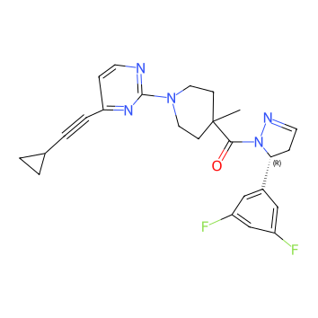 CC1(C(=O)N2N=CC[C@@H]2c2cc(F)cc(F)c2)CCN(c2nccc(C#CC3CC3)n2)CC1